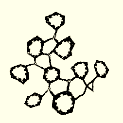 c1ccc(C2CC23Cc2cccc4c2B(c2cc5c(cc2N4c2ccccc2)N(c2ccccc2)c2nccc4c2B5c2ccccc2N4c2ccccc2)c2ccccc23)cc1